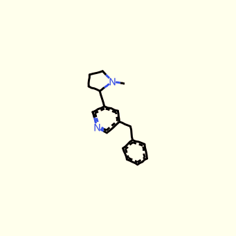 CN1CCCC1c1cncc(Cc2ccccc2)c1